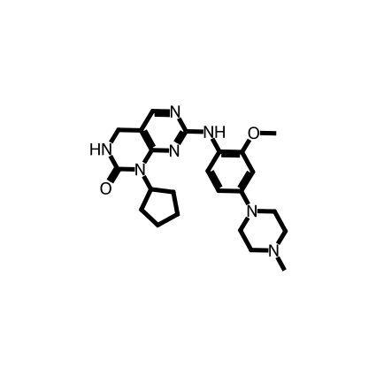 COc1cc(N2CCN(C)CC2)ccc1Nc1ncc2c(n1)N(C1CCCC1)C(=O)NC2